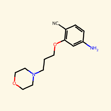 N#Cc1ccc(N)cc1OCCCN1CCOCC1